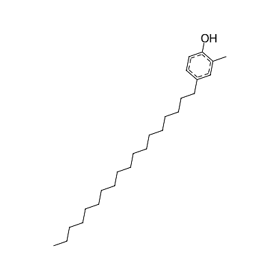 CCCCCCCCCCCCCCCCCCc1ccc(O)c(C)c1